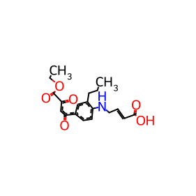 CCCc1c(NC/C=C/C(=O)O)ccc2c(=O)cc(C(=O)OCC)oc12